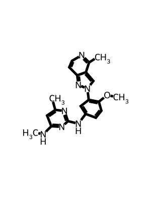 CNc1cc(C)nc(Nc2ccc(OC)c(-n3cc4c(C)nccc4n3)c2)n1